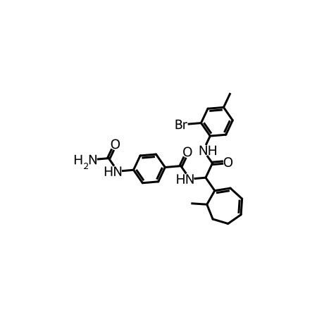 Cc1ccc(NC(=O)C(NC(=O)c2ccc(NC(N)=O)cc2)C2=CC=CCCC2C)c(Br)c1